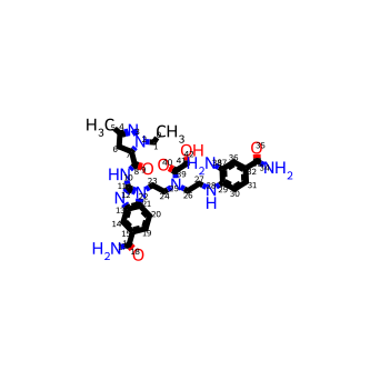 CCN1N=C(C)CC1C(=O)Nc1nc2cc(C(N)=O)ccc2n1CCN(CCNc1ccc(C(N)=O)cc1N)C(=O)CO